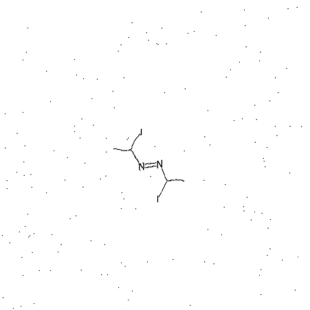 CC(I)N=NC(C)I